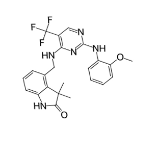 COc1ccccc1Nc1ncc(C(F)(F)F)c(NCc2cccc3c2C(C)(C)C(=O)N3)n1